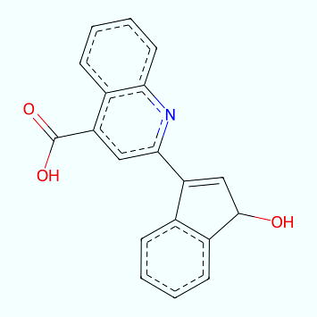 O=C(O)c1cc(C2=CC(O)c3ccccc32)nc2ccccc12